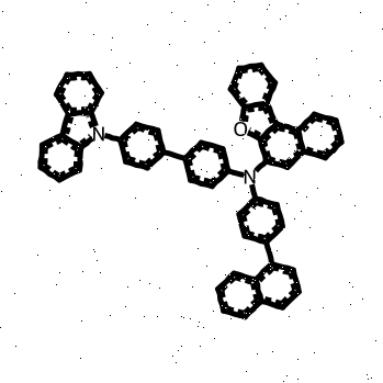 c1ccc2c(-c3ccc(N(c4ccc(-c5ccc(-n6c7ccccc7c7ccccc76)cc5)cc4)c4cc5ccccc5c5c4oc4ccccc45)cc3)cccc2c1